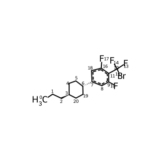 CCC[C@H]1CC[C@H](c2cc(F)c(C(F)(F)Br)c(F)c2)CC1